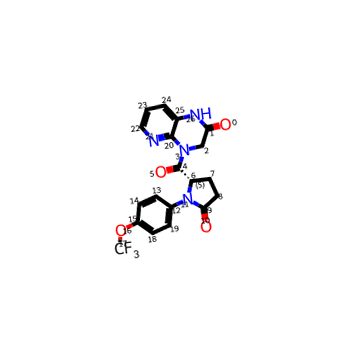 O=C1CN(C(=O)[C@@H]2CCC(=O)N2c2ccc(OC(F)(F)F)cc2)c2ncccc2N1